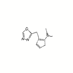 CB(C)C1=C(Cc2nnco2)C=CC1